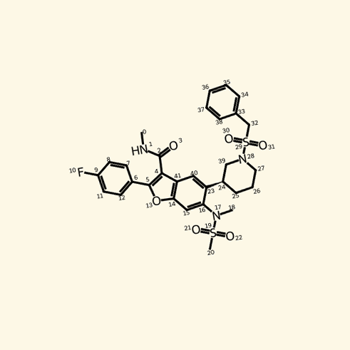 CNC(=O)c1c(-c2ccc(F)cc2)oc2cc(N(C)S(C)(=O)=O)c([C@@H]3CCCN(S(=O)(=O)Cc4ccccc4)C3)cc12